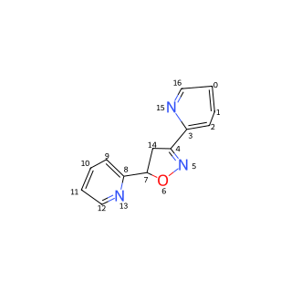 c1ccc(C2=NOC(c3ccccn3)C2)nc1